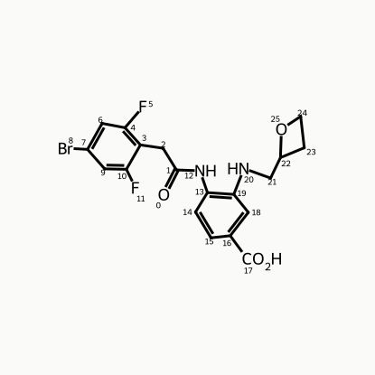 O=C(Cc1c(F)cc(Br)cc1F)Nc1ccc(C(=O)O)cc1NCC1CCO1